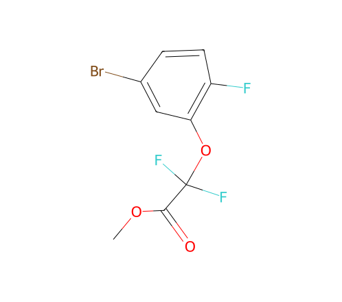 COC(=O)C(F)(F)Oc1cc(Br)ccc1F